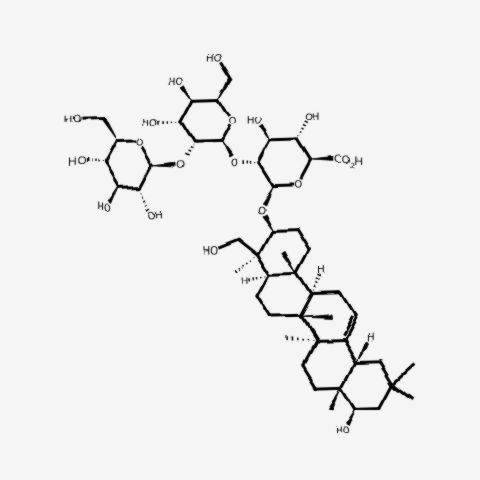 CC1(C)C[C@@H](O)[C@]2(C)CC[C@]3(C)C(=CC[C@@H]4[C@@]5(C)CC[C@H](O[C@@H]6O[C@H](C(=O)O)[C@@H](O)[C@H](O)[C@H]6O[C@@H]6O[C@H](CO)[C@H](O)[C@@H](O)[C@H]6O[C@@H]6O[C@H](CO)[C@@H](O)[C@H](O)[C@H]6O)[C@](C)(CO)[C@@H]5CC[C@]43C)[C@@H]2C1